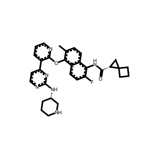 Cc1ccc2c(NC(=O)[C@@H]3CC34CCC4)c(F)ccc2c1Oc1ncccc1-c1ccnc(N[C@H]2CCCNC2)n1